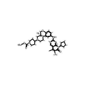 CC(=O)c1c(C)c2cnc(Nc3ccc4c(c3)N3CCN(C5CCN(C(=O)OC(C)(C)C)CC5)C[C@H]3CO4)nc2n(C2CCCC2)c1=O